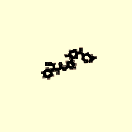 Cc1cnc(NC(CO)CC2CC2)nc1-c1c[nH]c(OC(=O)NC(CO)c2ccccc2)c1